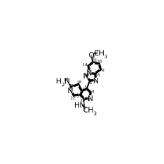 CNc1ncc(-c2nc3ccc(OC)cn3n2)c2cc(N)ncc12